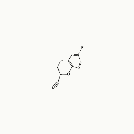 N#CC1CCc2cc(F)ccc2O1